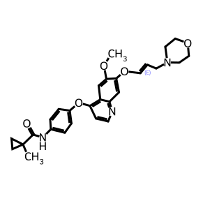 COc1cc2c(Oc3ccc(NC(=O)C4(C)CC4)cc3)ccnc2cc1O/C=C/CN1CCOCC1